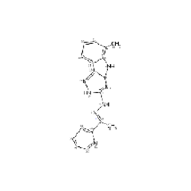 C/C(=N\NC1=NC2Nc3c(C)cccc3C2=NN1)c1ccccn1